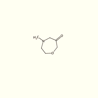 CN1CCOCC(=O)C1